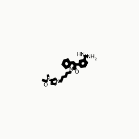 CC(=O)N(C)C1CCN(CCCCCn2c(=O)c(-c3cccc(C(=N)N)c3)cc3ccccc32)C1